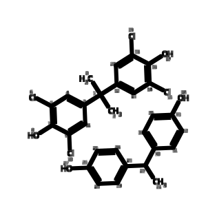 CC(C)(c1cc(Cl)c(O)c(Cl)c1)c1cc(Cl)c(O)c(Cl)c1.CC(c1ccc(O)cc1)c1ccc(O)cc1